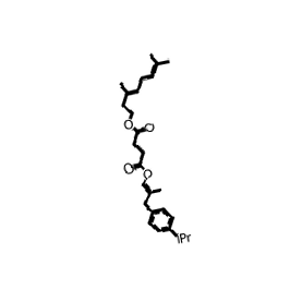 CC(C)=CCCC(C)CCOC(=O)CCC(=O)O/C=C(\C)Cc1ccc(C(C)C)cc1